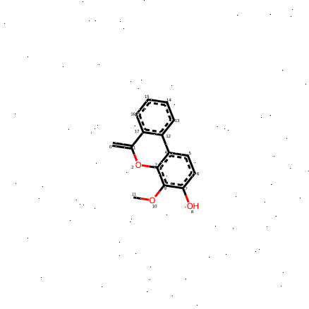 C=C1Oc2c(ccc(O)c2OC)-c2ccccc21